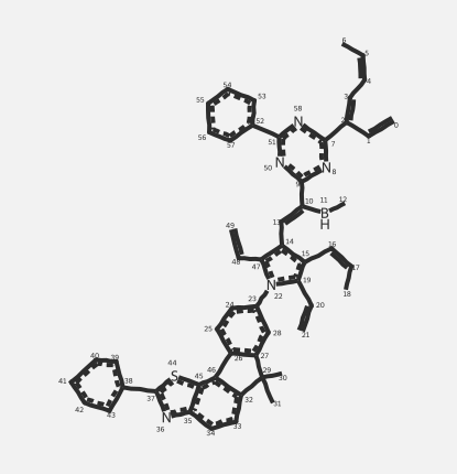 C=C/C(=C\C=C/C)c1nc(/C(BC)=C/c2c(/C=C\C)c(C=C)n(-c3ccc4c(c3)C(C)(C)c3ccc5nc(-c6ccccc6)sc5c3-4)c2C=C)nc(-c2ccccc2)n1